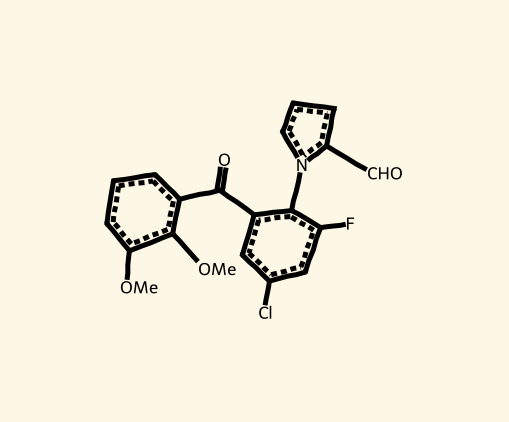 COc1cccc(C(=O)c2cc(Cl)cc(F)c2-n2cccc2C=O)c1OC